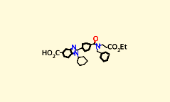 CCOC(=O)CCN(Cc1ccccc1)C(=O)c1ccc(-c2nc3cc(C(=O)O)ccc3n2C2CCCCC2)cc1